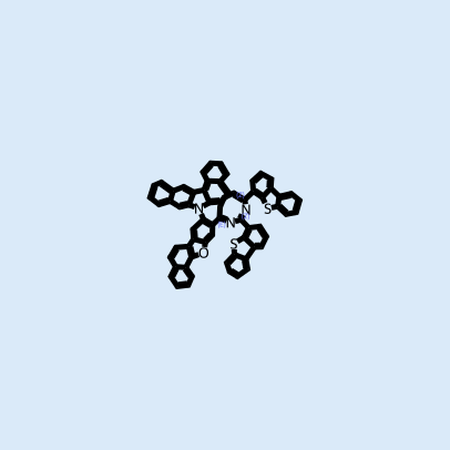 C1=C(c2cccc3c2sc2ccccc23)/N=C(c2cccc3c2sc2ccccc23)\N=C(\c2cc3oc4c5ccccc5ccc4c3cc2-n2c3cc4ccccc4cc3c3c4ccccc4ccc32)CC\1